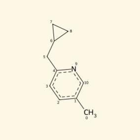 Cc1ccc(CC2CC2)nc1